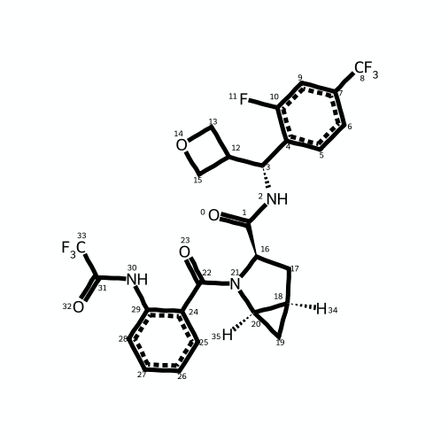 O=C(N[C@@H](c1ccc(C(F)(F)F)cc1F)C1COC1)[C@H]1C[C@H]2C[C@H]2N1C(=O)c1ccccc1NC(=O)C(F)(F)F